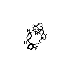 C[C@@H]1C[C@]2(COCC(=O)N2)[C@H]2CO[C@H]3CC[C@H](CC3)c3cccc(F)c3OCCC(=O)N12